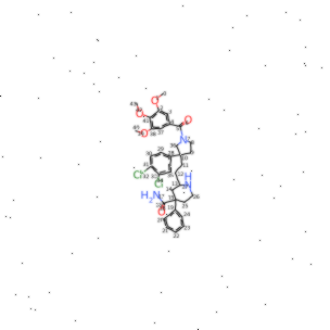 COc1cc(C(=O)N2CCC(CCC3CC(C(N)=O)(c4ccccc4)CCN3)(c3ccc(Cl)c(Cl)c3)C2)cc(OC)c1OC